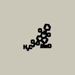 C=CC(=O)Oc1ccc2c3c(ccc(OC)c13)C(=O)N(c1ccccc1)C2=O